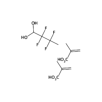 C=C(C)C(=O)O.C=C(C)C(=O)O.CC(F)(F)C(F)(F)C(O)O